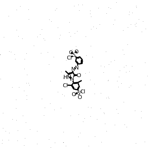 Cc1cc(S(=O)(=O)Cl)cc(Cl)c1-n1[nH]c(C)c(N=Nc2cccc(S(=O)(=O)Cl)c2)c1=O